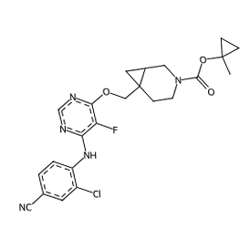 CC1(OC(=O)N2CCC3(COc4ncnc(Nc5ccc(C#N)cc5Cl)c4F)CC3C2)CC1